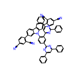 N#Cc1ccc(-c2ccc3c4ccc(-c5ccc(C#N)cc5C#N)cc4n(-c4ccc(-c5nc(-c6ccccc6)cc(-c6ccccc6)n5)cc4-c4cc(-c5ccccc5)nc(-c5ccccc5)n4)c3c2)c(C#N)c1